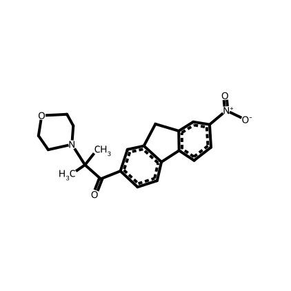 CC(C)(C(=O)c1ccc2c(c1)Cc1cc([N+](=O)[O-])ccc1-2)N1CCOCC1